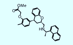 COC(=O)COc1cc([C@@H]2C[C@H](CN[C@H](C)c3cccc4ccccc34)Oc3ccccc32)ccc1C